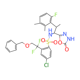 Cc1ccc(F)c(C(C)[C@H](NS(=O)(=O)c2ccc(Cl)cc2C(F)(F)COCc2ccccc2)c2n[nH]c(=O)o2)c1C